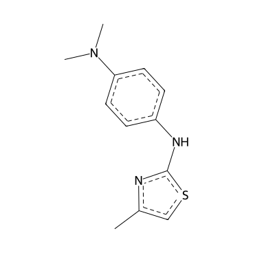 Cc1csc(Nc2ccc(N(C)C)cc2)n1